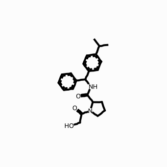 CC(C)c1ccc(C(NC(=O)C2CCCN2C(=O)CO)c2ccccc2)cc1